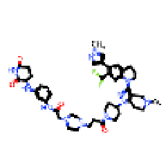 CC(=O)N1CCc2c(c(N3CCCc4cc(-c5cnn(C)c5)c(C(F)F)cc43)nn2C2CCN(C(=O)CCN3CCN(CC(=O)Nc4cccc(NC5CCC(=O)NC5=O)c4)CC3)CC2)C1